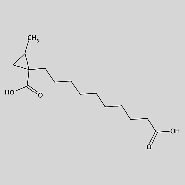 CC1CC1(CCCCCCCCCC(=O)O)C(=O)O